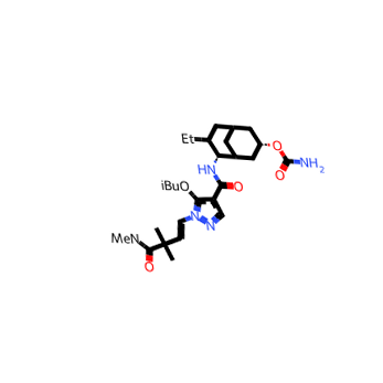 CCC1CC2CC(C[C@@H](OC(N)=O)C2)[C@@H]1NC(=O)c1cnn(/C=C/C(C)(C)C(=O)NC)c1OCC(C)C